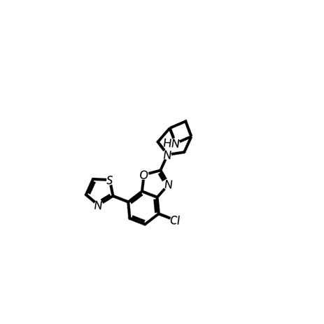 Clc1ccc(-c2nccs2)c2oc(N3CC4CC(C3)N4)nc12